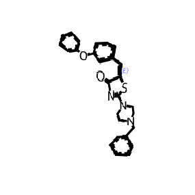 O=C1N=C(N2CCN(Cc3ccccc3)CC2)S/C1=C/c1cccc(Oc2ccccc2)c1